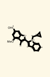 COc1cc(C=O)cc2sc(-c3cc4ccccc4n3CC3CC3)c(C)c12